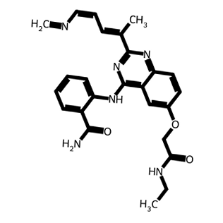 C=N/C=C\C=C(/C)c1nc(Nc2ccccc2C(N)=O)c2cc(OCC(=O)NCC)ccc2n1